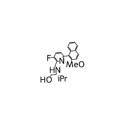 COc1ccc2ccccc2c1-c1ccc(F)c(CN[C@@H](CO)C(C)C)n1